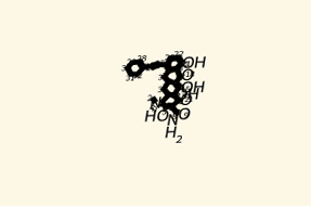 CN(C)C1C(O)=C(C(N)=O)C(=O)C2(O)C(O)=C3C(=O)c4c(O)ccc(C#CC5=CCCCC5)c4CC3CC12